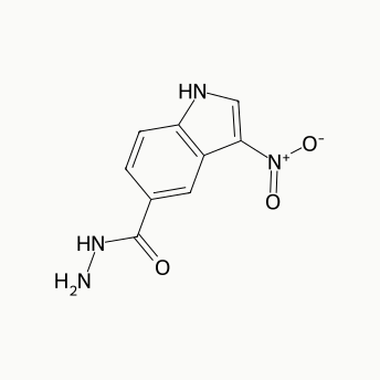 NNC(=O)c1ccc2[nH]cc([N+](=O)[O-])c2c1